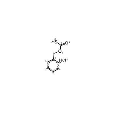 Cl.O=C(S)OCc1ccccc1